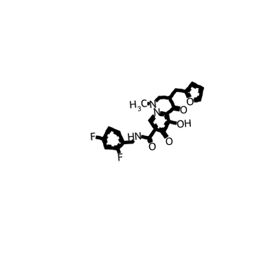 CN1CC(Cc2ccco2)C(=O)c2c(O)c(=O)c(C(=O)NCc3ccc(F)cc3F)cn21